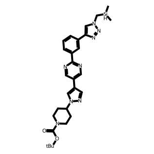 C[SiH](C)Cn1cc(-c2cccc(-c3ncc(-c4cnn(C5CCN(C(=O)OC(C)(C)C)CC5)c4)cn3)c2)nn1